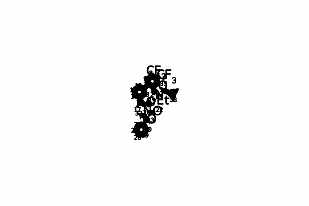 CCN(Cc1cc(C(F)(F)F)c(C(F)(F)F)cc1-c1cccc([C@H](C)C(=O)N2C(=O)O[C@@H](c3ccccc3)[C@H]2C)c1)C(=O)C1CC1